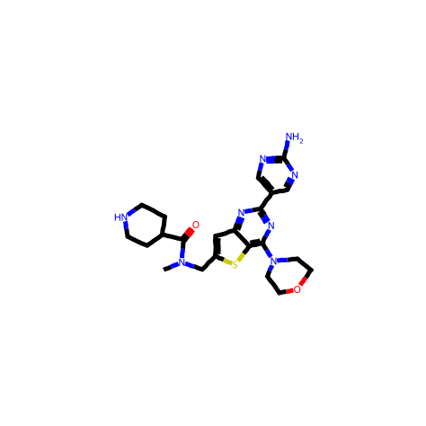 CN(Cc1cc2nc(-c3cnc(N)nc3)nc(N3CCOCC3)c2s1)C(=O)C1CCNCC1